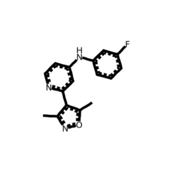 Cc1noc(C)c1-c1cc(Nc2cccc(F)c2)ccn1